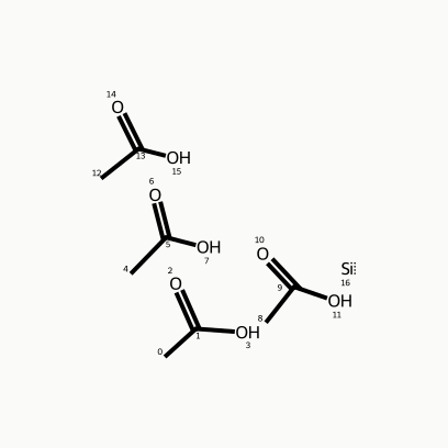 CC(=O)O.CC(=O)O.CC(=O)O.CC(=O)O.[Si]